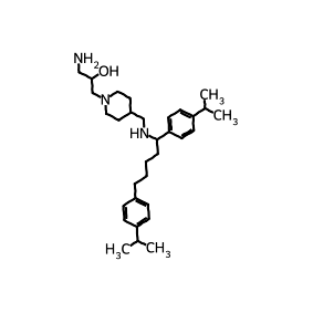 CC(C)c1ccc(CCCCC(NCC2CCN(CC(O)CN)CC2)c2ccc(C(C)C)cc2)cc1